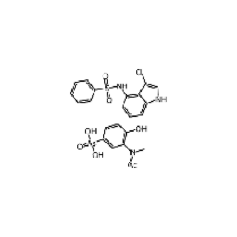 CC(=O)N(C)c1cc([As](=O)(O)O)ccc1O.O=S(=O)(Nc1cccc2[nH]cc(Cl)c12)c1ccccc1